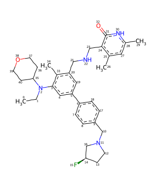 CCN(c1cc(-c2ccc(CN3CC[C@@H](F)C3)cc2)cc(CNCc2c(C)cc(C)[nH]c2=O)c1C)C1CCOCC1